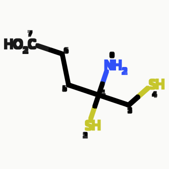 NC(S)(CS)CCC(=O)O